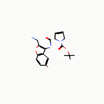 CC(C)(C)OC(=O)N1CC=C[C@H]1C(=O)Nc1c(CN)oc2ccc(Br)cc12